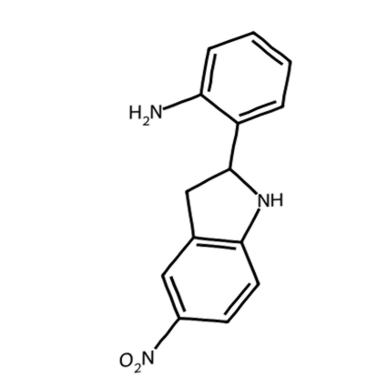 Nc1ccccc1C1Cc2cc([N+](=O)[O-])ccc2N1